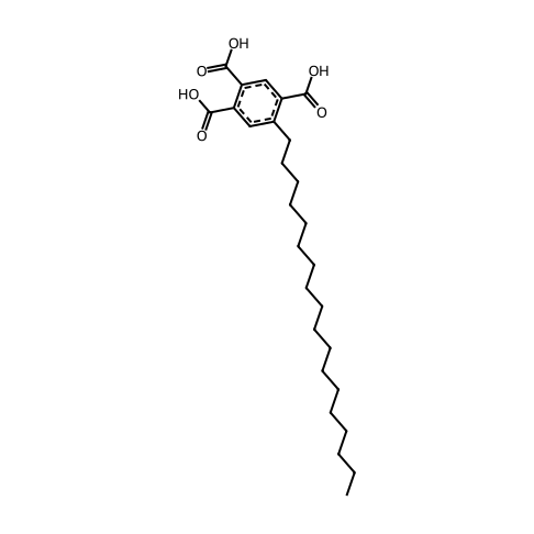 CCCCCCCCCCCCCCCCCCc1cc(C(=O)O)c(C(=O)O)cc1C(=O)O